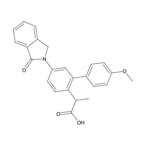 COc1ccc(-c2cc(N3Cc4ccccc4C3=O)ccc2C(C)C(=O)O)cc1